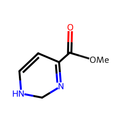 COC(=O)C1=NCNC=C1